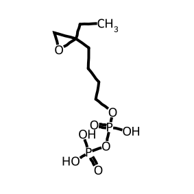 CCC1(CCCCOP(=O)(O)OP(=O)(O)O)CO1